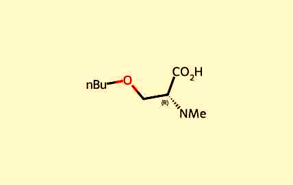 CCCCOC[C@@H](NC)C(=O)O